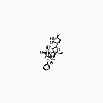 C=C[C@]12O[C@@H](n3ccc(=O)[nH]c3=O)[C@H](F)[C@@]1(O)C2OP(=O)(NC(C)C(=O)OC(C)C)Oc1ccccc1